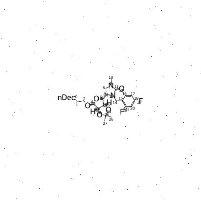 CCCCCCCCCCCCO[C@H]1O[C@H]([C@@H]2CN(C)C(=O)N2Cc2ccc(F)cc2F)[C@@H]2OC(C)(C)O[C@H]12